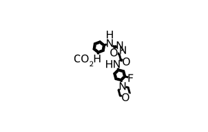 O=C(O)c1cccc(Nc2nnc(C(=O)Nc3ccc(N4CCOCC4)c(F)c3)o2)c1